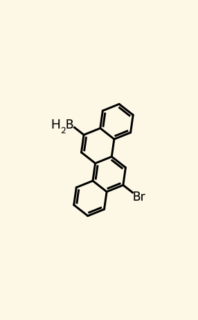 Bc1cc2c3ccccc3c(Br)cc2c2ccccc12